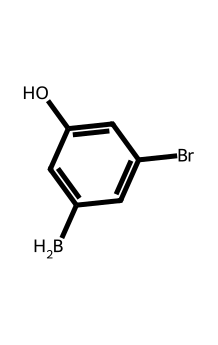 Bc1cc(O)cc(Br)c1